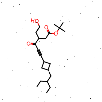 CCC(CC)CC1CC(C#CC(=O)C(CCO)CC(=O)OC(C)(C)C)C1